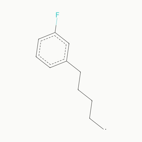 [CH2]CCCCc1cccc(F)c1